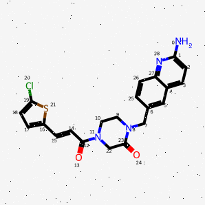 Nc1ccc2cc(CN3CCN(C(=O)C=Cc4ccc(Cl)s4)CC3=O)ccc2n1